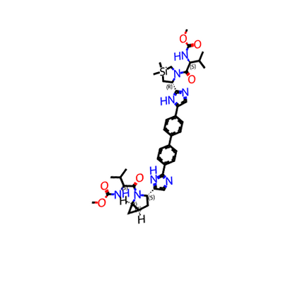 COC(=O)N[C@H](C(=O)N1C[Si](C)(C)C[C@H]1c1ncc(-c2ccc(-c3ccc(-c4ncc([C@@H]5C[C@H]6C[C@H]6N5C(=O)[C@@H](NC(=O)OC)C(C)C)[nH]4)cc3)cc2)[nH]1)C(C)C